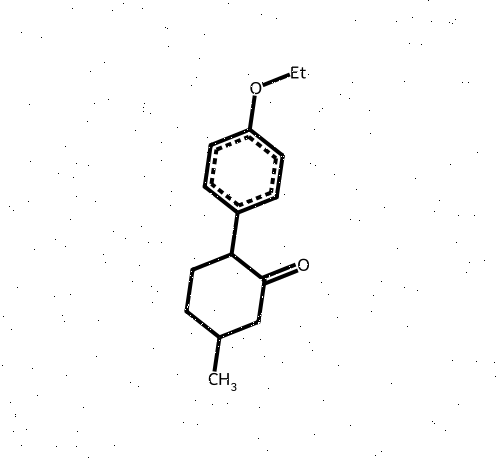 CCOc1ccc(C2CCC(C)CC2=O)cc1